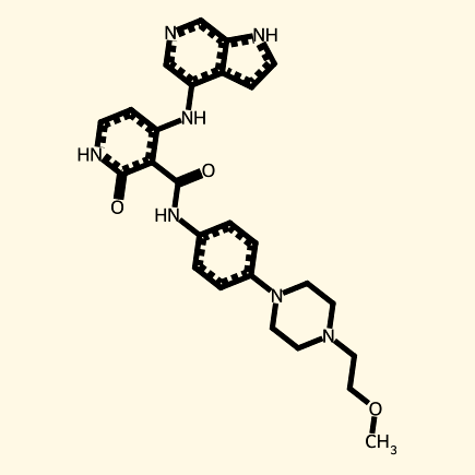 COCCN1CCN(c2ccc(NC(=O)c3c(Nc4cncc5[nH]ccc45)cc[nH]c3=O)cc2)CC1